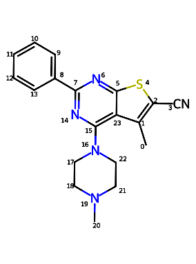 Cc1c(C#N)sc2nc(-c3ccccc3)nc(N3CCN(C)CC3)c12